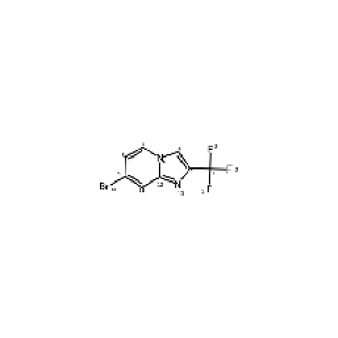 FC(F)(F)c1cn2ccc(Br)cc2n1